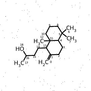 C=C1CCC2C(C)(C)CCCC2(C)C1CCC(C)O